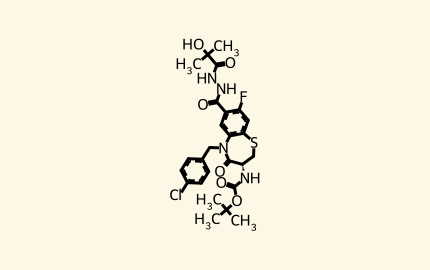 CC(C)(C)OC(=O)N[C@H]1CSc2cc(F)c(C(=O)NNC(=O)C(C)(C)O)cc2N(Cc2ccc(Cl)cc2)C1=O